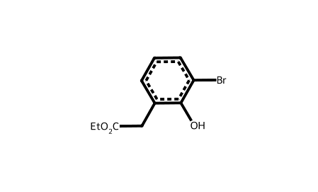 CCOC(=O)Cc1cccc(Br)c1O